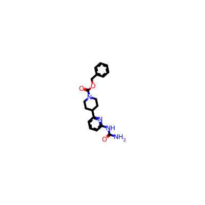 NC(=O)Nc1cccc(C2CCN(C(=O)OCc3ccccc3)CC2)n1